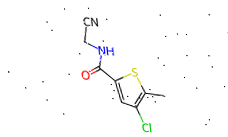 Cc1sc(C(=O)NCC#N)cc1Cl